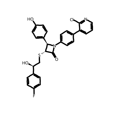 O=C1[C@H](SC[C@H](O)c2ccc(F)cc2)[C@@H](c2ccc(O)cc2)N1c1ccc(-c2cccnc2Cl)cc1